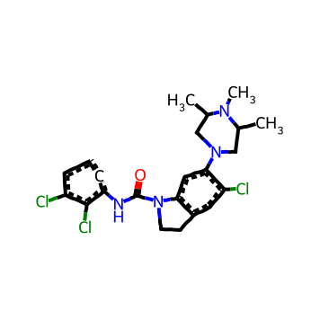 CC1CN(c2cc3c(cc2Cl)CCN3C(=O)Nc2cccc(Cl)c2Cl)CC(C)N1C